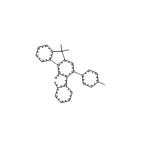 CC1(C)c2ccccc2-c2c1cc(-c1ccc(Cl)cc1)c1c2oc2ccccc21